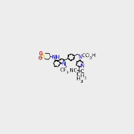 CC(C)(C#N)c1ccc(N(Cc2ccc(-c3cc4c(NC5CCS(=O)(=O)CC5)cccc4n3CC(F)(F)F)cc2)C(=O)O)cn1